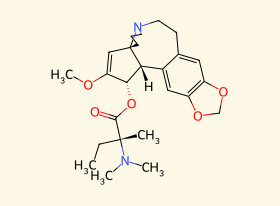 CC[C@](C)(C(=O)O[C@@H]1C(OC)=C[C@]23CCCN2CCc2cc4c(cc2[C@H]13)OCO4)N(C)C